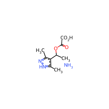 Cc1n[nH]c(C)c1C(C)OC(=O)C(=O)O.N